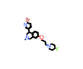 CN1Cc2cc(OCCCN3CCC(F)CC3)ccc2C(c2ccc(Br)nc2)C1